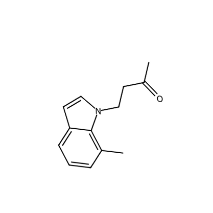 CC(=O)CCn1ccc2cccc(C)c21